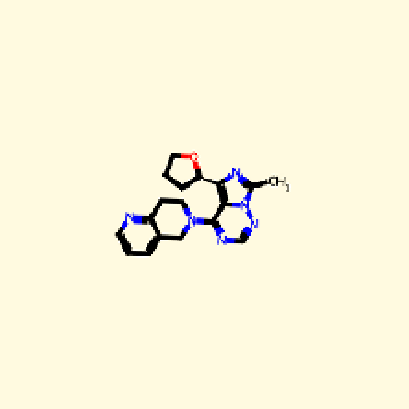 Cc1nc([C@H]2CCCO2)c2c(N3CCc4ncccc4C3)ncnn12